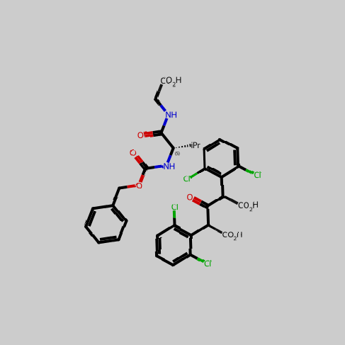 CC(C)[C@H](NC(=O)OCc1ccccc1)C(=O)NCC(=O)O.O=C(O)C(C(=O)C(C(=O)O)c1c(Cl)cccc1Cl)c1c(Cl)cccc1Cl